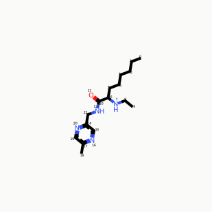 CCCCCCC(NCC)C(=O)NCc1cnc(C)cn1